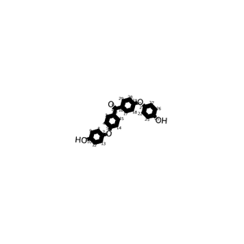 O=C(c1ccc(Oc2ccc(O)cc2)cc1)c1ccc(Oc2ccc(O)cc2)cc1